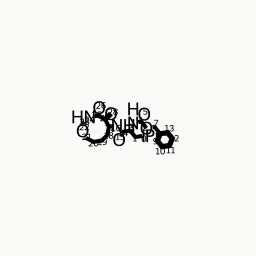 CC(C)CC(NC(=O)OCc1ccccc1)C(=O)NC1CCCCOCNC(=O)C1=O